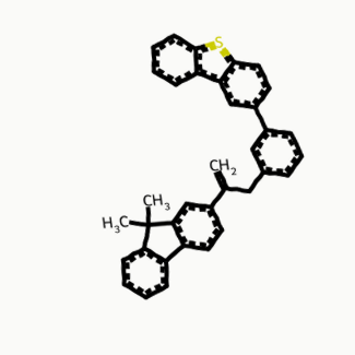 C=C(Cc1cccc(-c2ccc3sc4ccccc4c3c2)c1)c1ccc2c(c1)C(C)(C)c1ccccc1-2